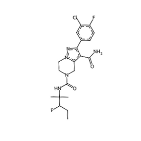 CCC(F)C(C)(C)NC(=O)N1CCn2nc(-c3ccc(F)c(Cl)c3)c(C(N)=O)c2C1